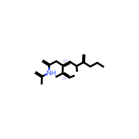 C=C(C)NC(=C)CC(=C/C(C)C(=C)CCC)/C(C)=C\C